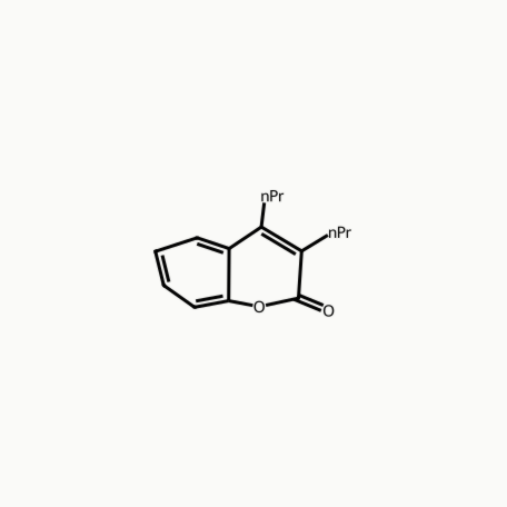 CCCc1c(CCC)c2ccccc2oc1=O